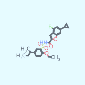 CCOc1ccc(C(C)CC)cc1S(=O)(=O)NC(=O)c1cc2c(F)cc(C3CC3)cc2o1